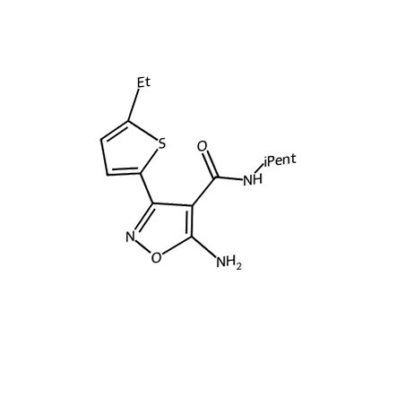 CCCC(C)NC(=O)c1c(-c2ccc(CC)s2)noc1N